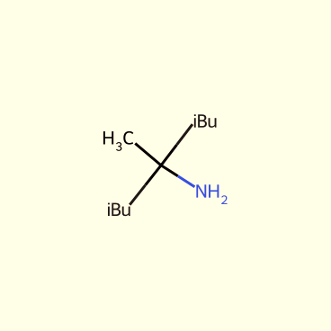 CCC(C)C(C)(N)C(C)CC